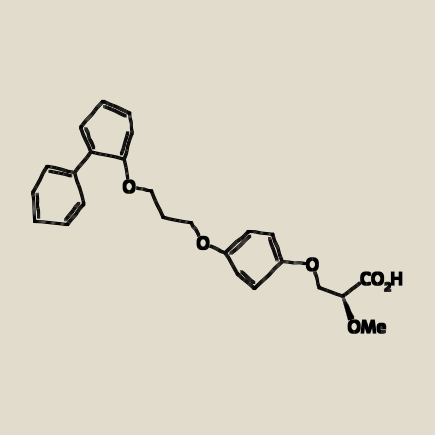 CO[C@@H](COc1ccc(OCCCOc2ccccc2-c2ccccc2)cc1)C(=O)O